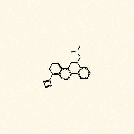 CN(C)CC1Cc2c(ccc3c2=CCCC=3C2=CC=C2)-c2ccccc21